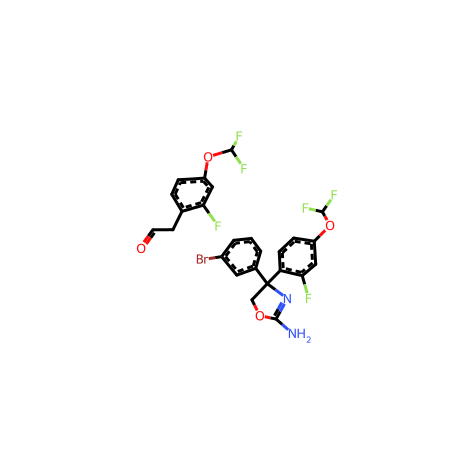 NC1=NC(c2cccc(Br)c2)(c2ccc(OC(F)F)cc2F)CO1.O=CCc1ccc(OC(F)F)cc1F